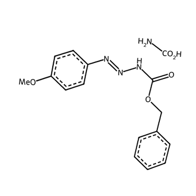 COc1ccc(N=NNC(=O)OCc2ccccc2)cc1.NC(=O)O